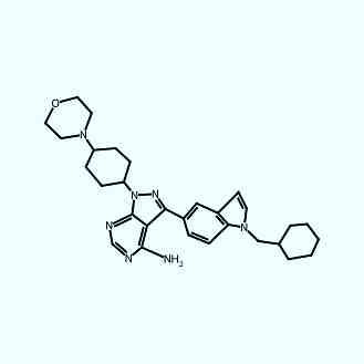 Nc1ncnc2c1c(-c1ccc3c(ccn3CC3CCCCC3)c1)nn2C1CCC(N2CCOCC2)CC1